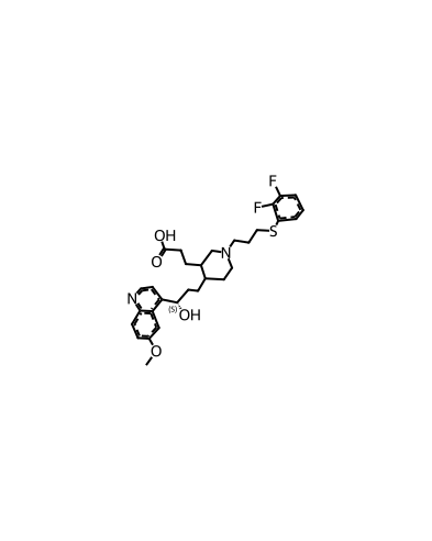 COc1ccc2nccc([C@@H](O)CCC3CCN(CCCSc4cccc(F)c4F)CC3CCC(=O)O)c2c1